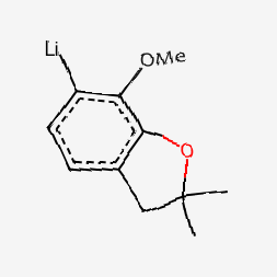 [Li][c]1ccc2c(c1OC)OC(C)(C)C2